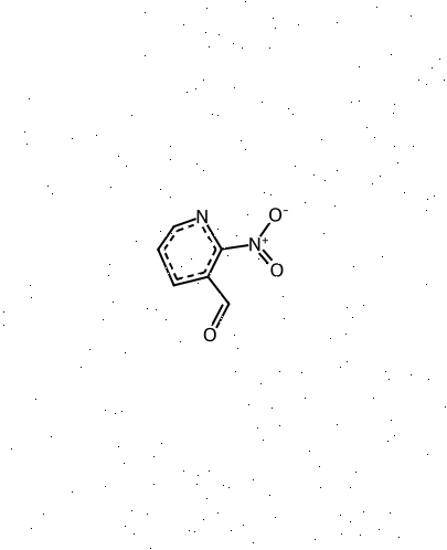 O=Cc1cccnc1[N+](=O)[O-]